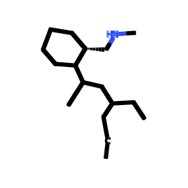 CCCC(CC)CC(C)C1CCCC[C@@H]1CNC